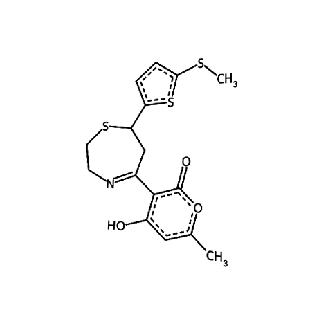 CSc1ccc(C2CC(c3c(O)cc(C)oc3=O)=NCCS2)s1